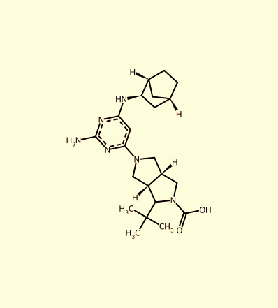 CC(C)(C)C1[C@@H]2CN(c3cc(N[C@@H]4C[C@H]5CC[C@@H]4C5)nc(N)n3)C[C@@H]2CN1C(=O)O